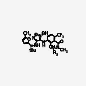 Cc1ccc([C@H](Nc2no[n+](O)c2Nc2ccc(C(F)(F)F)c(C(=O)N(C)C)c2O)C(C)(C)C)o1